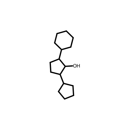 OC1C(C2CCCCC2)CCC1C1CCCC1